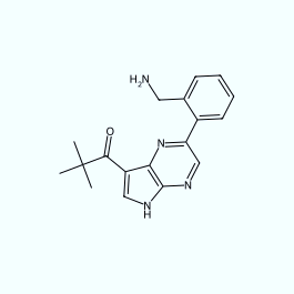 CC(C)(C)C(=O)c1c[nH]c2ncc(-c3ccccc3CN)nc12